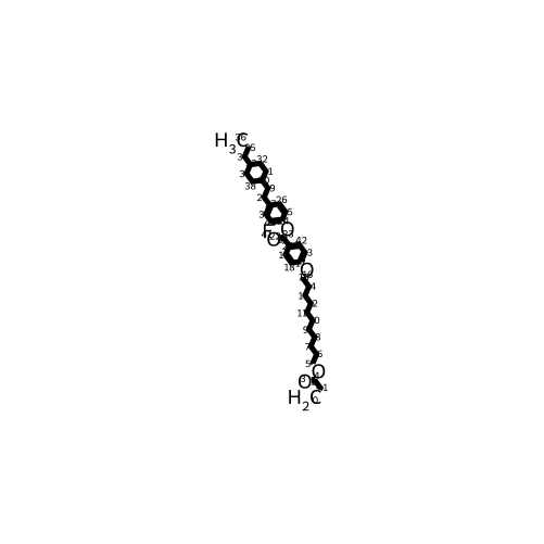 C=CC(=O)OCCCCCCCCCCCOc1ccc(C(=O)Oc2ccc(CCC3CCC(CCC)CC3)cc2F)cc1